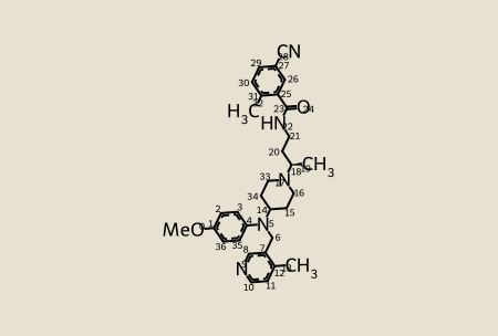 COc1ccc(N(Cc2cnccc2C)C2CCN([C@H](C)CCNC(=O)c3cc(C#N)ccc3C)CC2)cc1